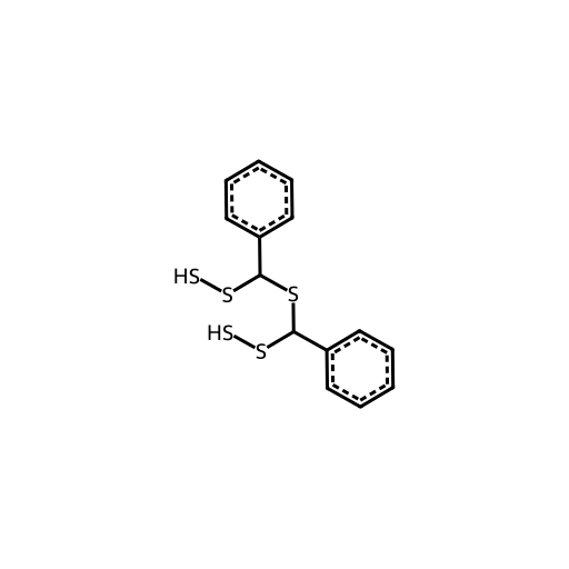 SSC(SC(SS)c1ccccc1)c1ccccc1